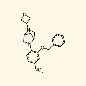 O=[N+]([O-])c1ccc(N2CC3CC2CN3C2COC2)c(OCc2ccccc2)c1